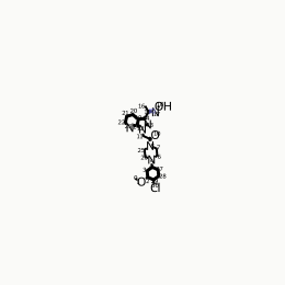 COc1cc(N2CCN(C(=O)Cn3nc(/C(C)=N/O)c4cccnc43)CC2)ccc1Cl